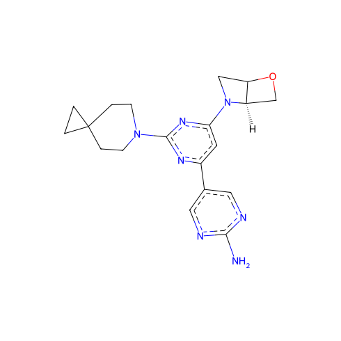 Nc1ncc(-c2cc(N3CC4OC[C@H]43)nc(N3CCC4(CC3)CC4)n2)cn1